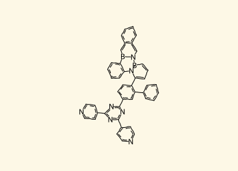 C1=CB2N3C=c4ccccc4=CB3c3ccccc3N2C(c2ccc(-c3nc(-c4ccncc4)nc(-c4ccncc4)n3)cc2-c2ccccc2)=C1